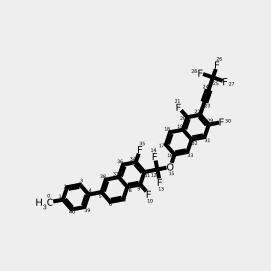 Cc1ccc(-c2ccc3c(F)c(C(F)(F)Oc4ccc5c(F)c(C#CC(F)(F)F)c(F)cc5c4)c(F)cc3c2)cc1